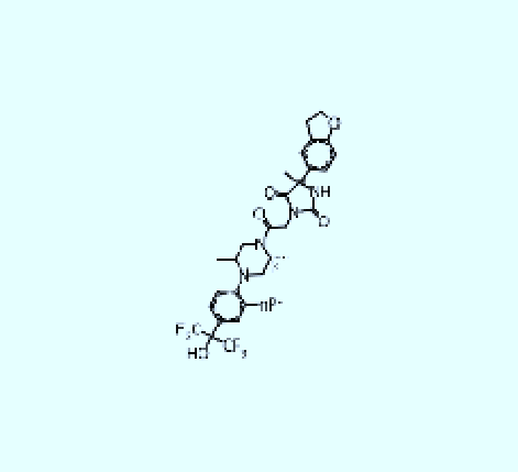 CCCc1cc(C(O)(C(F)(F)F)C(F)(F)F)ccc1N1C[C@@H](C)N(C(=O)CN2C(=O)N[C@@](C)(c3ccc4c(c3)CCO4)C2=O)CC1C